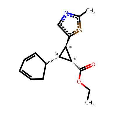 CCOC(=O)[C@H]1[C@H](c2cnc(C)s2)[C@H]1C1C=CC=CC1